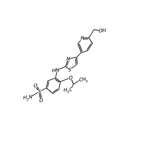 CC(C)Oc1ccc(S(N)(=O)=O)cc1Nc1nc(-c2ccc(CO)nc2)cs1